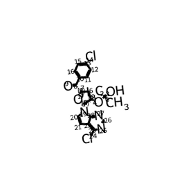 CC(C)(O)O[C@@H]1C[C@@H](C(=O)c2ccc(Cl)cc2)O[C@H]1n1ccc2c(Cl)ncnc21